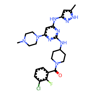 Cc1cc(Nc2cc(N3CCN(C)CC3)nc(NC3CCN(C(=O)c4cccc(Cl)c4F)CC3)n2)n[nH]1